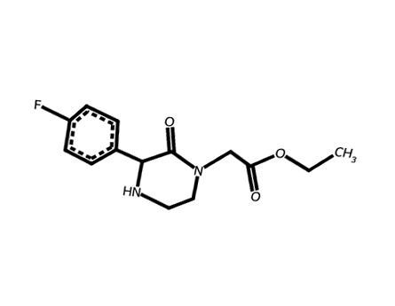 CCOC(=O)CN1CCNC(c2ccc(F)cc2)C1=O